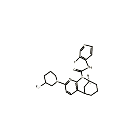 O=C(Nc1ccncc1F)N1c2nc(N3CCCC(C(F)(F)F)C3)ccc2C2CCC[C@H]1C2